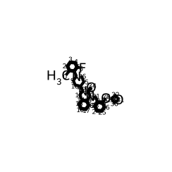 Cc1cccc(F)c1N1CCC(N2Cc3ccccc3N(Cc3ccccc3OC3COC3)C2=O)CC1